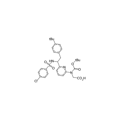 CC(C)(C)OC(=O)N(CC(=O)O)c1cccc(C(Cc2ccc(C(C)(C)C)cc2)NS(=O)(=O)c2ccc(Cl)cc2)n1